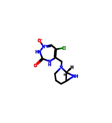 O=C1NC(CN2CCCC3N[C@H]32)=C(Cl)C=[N+]([O-])N1